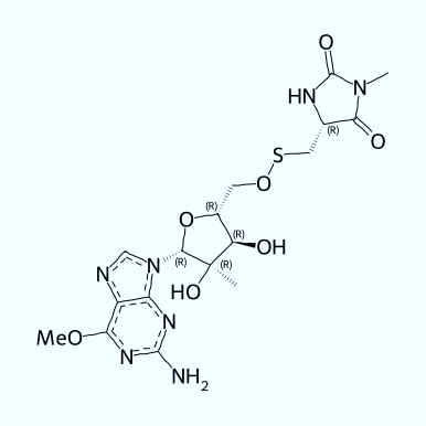 COc1nc(N)nc2c1ncn2[C@@H]1O[C@H](COSC[C@@H]2NC(=O)N(C)C2=O)[C@@H](O)[C@@]1(C)O